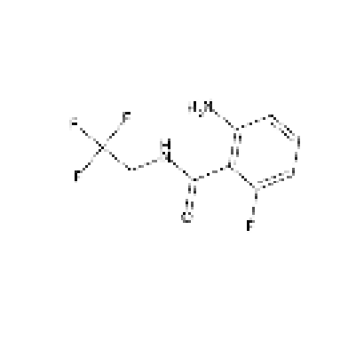 Nc1cccc(F)c1C(=O)NCC(F)(F)F